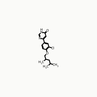 CC(C)CC(C)COc1ccc(-c2cc(=O)[nH]cn2)cc1Cl